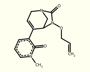 C=CCON1C(=O)N2CC=C(c3cccn(C)c3=O)C1C2